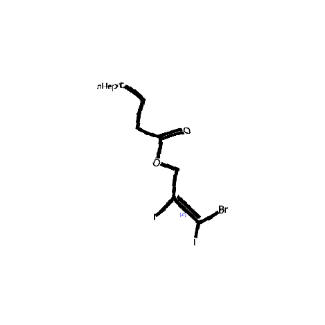 CCCCCCCCCC(=O)OC/C(I)=C(\Br)I